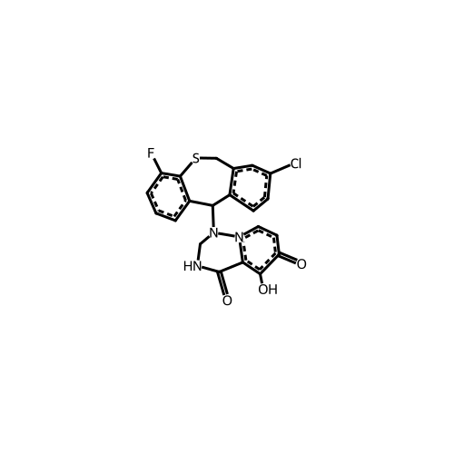 O=C1NCN(C2c3ccc(Cl)cc3CSc3c(F)cccc32)n2ccc(=O)c(O)c21